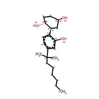 CCCCCCC(C)(C)c1ccc([C@@H]2C[C@H](O)CC[C@H]2O)c(O)c1